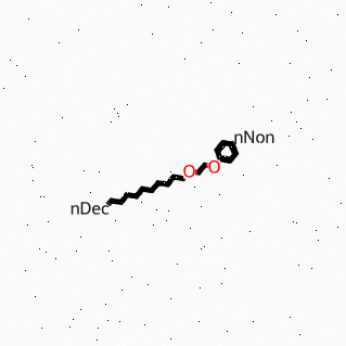 CCCCCCCCCCCCCCCCCCCCOCCOc1ccc(CCCCCCCCC)cc1